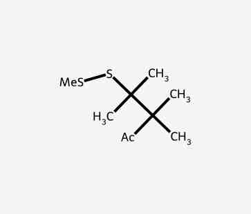 CSSC(C)(C)C(C)(C)C(C)=O